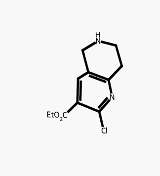 CCOC(=O)c1cc2c(nc1Cl)CCNC2